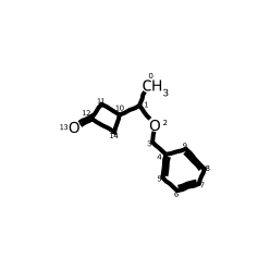 CC(OCc1ccccc1)C1CC(=O)C1